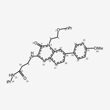 CCCOCCn1c(=O)c(NCCC(=O)NC(C)C)nc2ncc(-c3ccc(OC)nc3)cc21